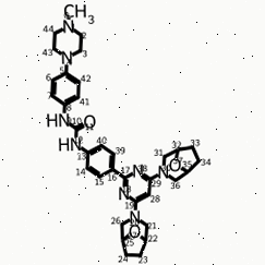 CN1CCN(c2ccc(NC(=O)Nc3ccc(-c4nc(N5CC6CCC(C5)O6)cc(N5CC6CCC(C5)O6)n4)cc3)cc2)CC1